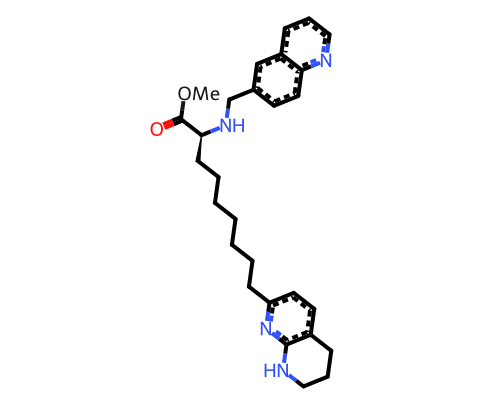 COC(=O)[C@H](CCCCCCCc1ccc2c(n1)NCCC2)NCc1ccc2ncccc2c1